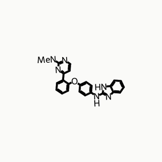 CNc1nccc(-c2ccccc2Oc2ccc(Nc3nc4ccccc4[nH]3)cc2)n1